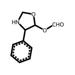 O=COC1OCNC1c1ccccc1